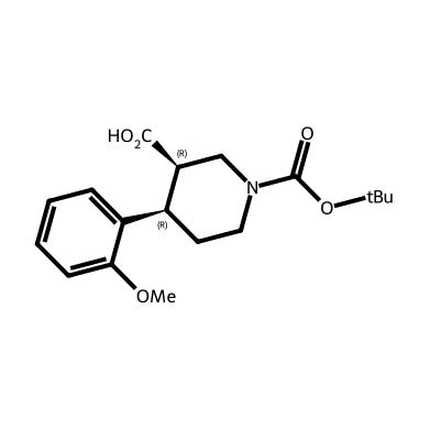 COc1ccccc1[C@@H]1CCN(C(=O)OC(C)(C)C)C[C@@H]1C(=O)O